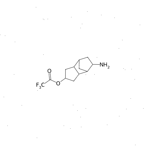 NC1CC2CC1C1CC(OC(=O)C(F)(F)F)CC21